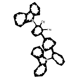 N#Cc1c(-c2ccc(-c3ccccc3-n3c4ccccc4c4ccccc43)cc2)ccc(-n2c3ccccc3c3ccccc32)c1C#N